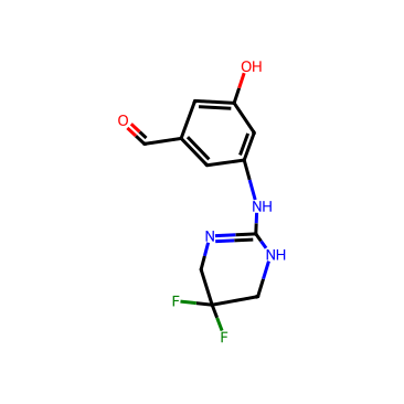 O=Cc1cc(O)cc(NC2=NCC(F)(F)CN2)c1